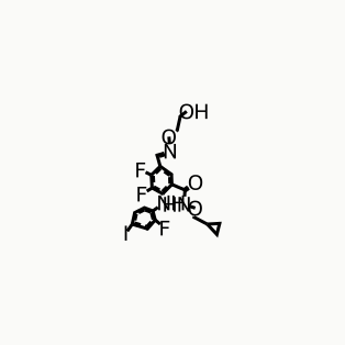 O=C(NOCC1CC1)c1cc(C=NOCCO)c(F)c(F)c1Nc1ccc(I)cc1F